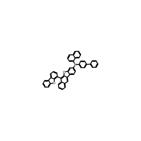 c1ccc(-c2ccc(N(c3ccc4c(c3)oc3c(-c5cccc6c5oc5ccccc56)c5ccccc5cc34)c3cccc4ccccc34)cc2)cc1